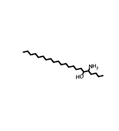 CCCCCCCCCCCCCCCCC(O)C(N)CCCC